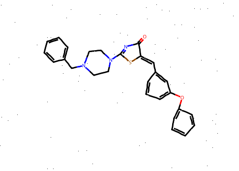 O=C1N=C(N2CCN(Cc3ccccc3)CC2)SC1=Cc1cccc(Oc2ccccc2)c1